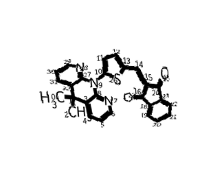 CC1(C)c2cccnc2N(c2ccc(C=C3C(=O)c4ccccc4C3=O)s2)c2ncccc21